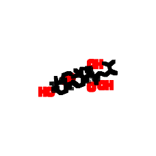 C=C(CC[C@@H](C(=O)O)[C@H]1[C@H](O)C[C@@]2(C)C34CC[C@@]5(OO3)C(C)(C)[C@@H](O)CC[C@]5(C)C4=CC[C@]12C)C(C)C